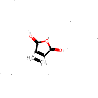 C=C.O=C1C=CC(=O)O1